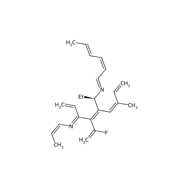 C=C\C(C)=C/C(=C(C(=C)F)/C(C=C)=N/C=C\C)[C@@H](CC)/N=C/C=C\C=C\C